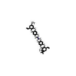 C=CC1CC(C(C)C)=CC2=C1Sc1cc3c(cc1S2)S/C(=C1\Sc2cc4c(cc2S1)SC1=C(S4)C(C=C)CC2[C@@H]1C2(C)C)S3